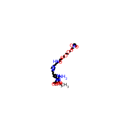 CCOCc1nc2c(N)nc3cc(CCCN4CCN(CCCCNC(=O)CCOCCOCCOCCOCCN5C(=O)C=CC5=O)CC4)ccc3c2n1CC(C)(CO)CO